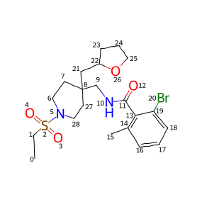 CCS(=O)(=O)N1CCC(CNC(=O)c2c(C)cccc2Br)(CC2CCCO2)CC1